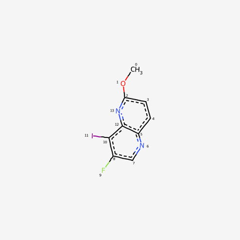 COc1ccc2ncc(F)c(I)c2n1